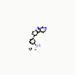 Cn1c2ccc(-c3cccc(NC=O)c3)cc2c2ccncc21